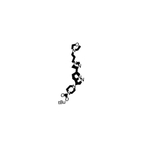 CC(C)(C)OC(=O)N1CCN(c2cnn3cc(-c4cn(CCCN5CCOCC5)cn4)ccc23)CC1